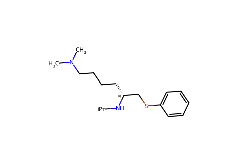 CC(C)N[C@H](CCCCN(C)C)CSc1ccccc1